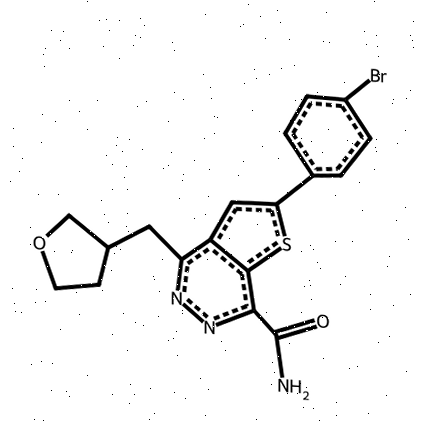 NC(=O)c1nnc(CC2CCOC2)c2cc(-c3ccc(Br)cc3)sc12